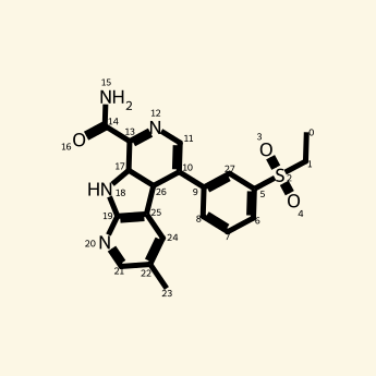 CCS(=O)(=O)c1cccc(C2=CN=C(C(N)=O)C3Nc4ncc(C)cc4C23)c1